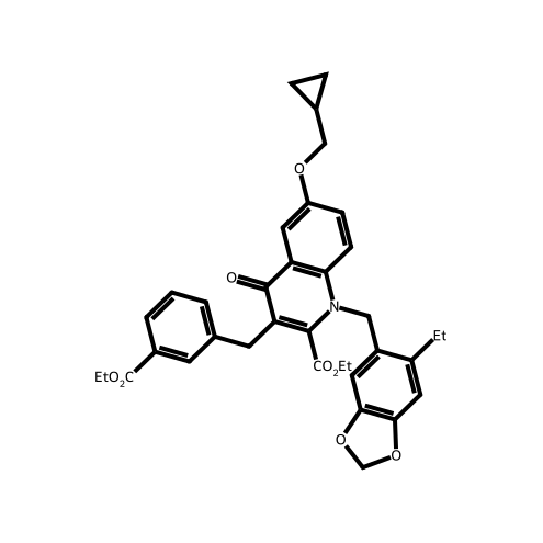 CCOC(=O)c1cccc(Cc2c(C(=O)OCC)n(Cc3cc4c(cc3CC)OCO4)c3ccc(OCC4CC4)cc3c2=O)c1